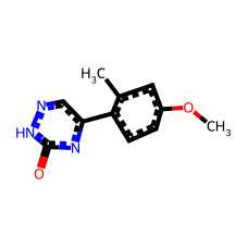 COc1ccc(-c2cn[nH]c(=O)n2)c(C)c1